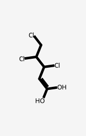 OC(O)=CC(Cl)C(Cl)CCl